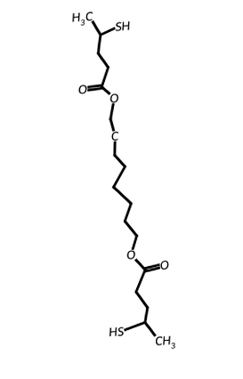 CC(S)CCC(=O)OCCCCCCCCOC(=O)CCC(C)S